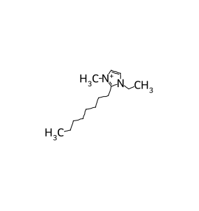 CCCCCCCCc1n(CC)cc[n+]1C